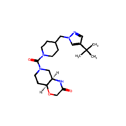 CC(C)(C)c1cnn(CC2CCN(C(=O)N3CC[C@@H]4OCC(=O)N[C@@H]4C3)CC2)c1